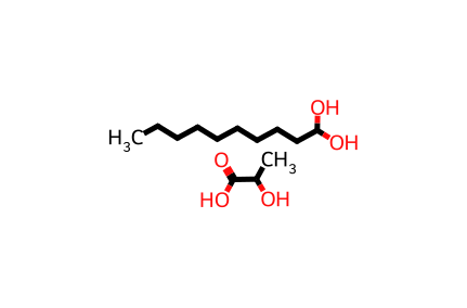 CC(O)C(=O)O.CCCCCCCCCC(O)O